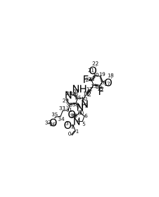 C=CC(=O)N1CC[C@H](n2nc(C#Cc3c(F)c(OC)cc(OC)c3F)c3c(N)ncc(C(=O)CCCOC)c32)C1